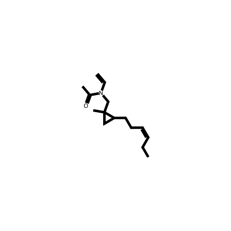 C=CN(CC1(C)CC1CC/C=C\CC)C(C)=O